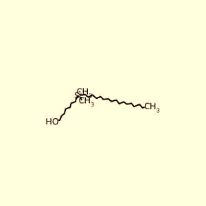 CCCCCCCCCCCCCCCCC[Si](C)(C)CCCCCCCCO